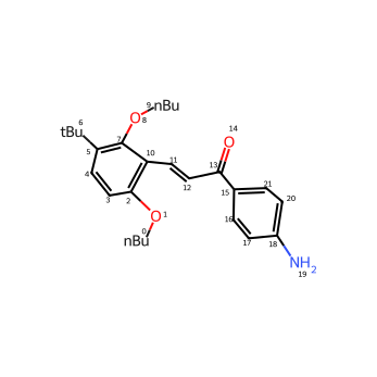 CCCCOc1ccc(C(C)(C)C)c(OCCCC)c1C=CC(=O)c1ccc(N)cc1